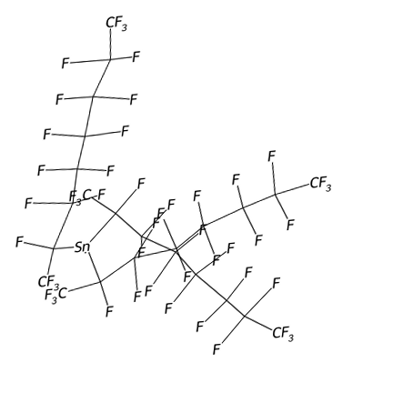 FC(F)(F)C(F)(F)C(F)(F)C(F)(F)C(F)(F)C(F)(F)[C](F)([Sn]([C](F)(C(F)(F)F)C(F)(F)C(F)(F)C(F)(F)C(F)(F)C(F)(F)C(F)(F)F)[C](F)(C(F)(F)F)C(F)(F)C(F)(F)C(F)(F)C(F)(F)C(F)(F)C(F)(F)F)C(F)(F)F